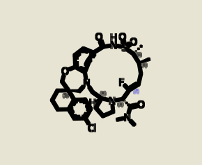 C[C@@H]1[C@@H](C)C/C=C(\F)[C@H](C(=O)N(C)C)N2CCC[C@H]2CN2C[C@@]3(CCCc4cc(Cl)ccc43)COc3ccc(cc32)C(=O)NS1(=O)=O